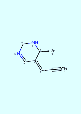 C#C/C=C1/C=NCN[C@H]1C(C)C